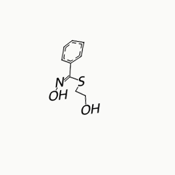 OCCSC(=NO)c1ccccc1